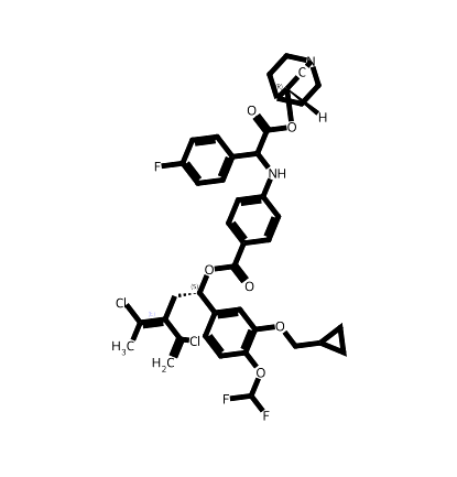 C=C(Cl)/C(C[C@H](OC(=O)c1ccc(NC(C(=O)O[C@H]2CN3CCC2CC3)c2ccc(F)cc2)cc1)c1ccc(OC(F)F)c(OCC2CC2)c1)=C(\C)Cl